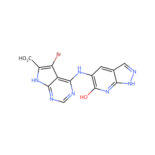 O=C(O)c1[nH]c2ncnc(Nc3cc4cn[nH]c4nc3O)c2c1Br